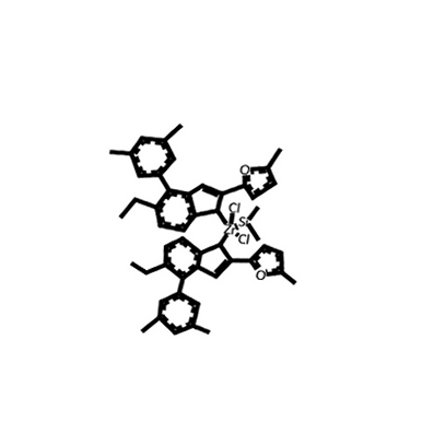 CCc1ccc2c(c1-c1cc(C)cc(C)c1)C=C(c1ccc(C)o1)[CH]2[Zr]([Cl])([Cl])([CH]1C(c2ccc(C)o2)=Cc2c1ccc(CC)c2-c1cc(C)cc(C)c1)=[Si](C)C